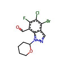 O=Cc1c(F)c(Cl)c(Br)c2cnn(C3CCCCO3)c12